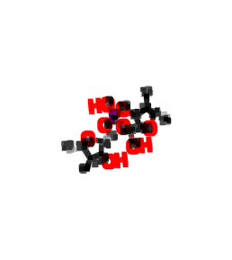 C[C@@H]1[C@H](O)[C@@H](COP(=O)(O)O[C@H]2[C@@H](C)[C@H](C)O[C@@H]2CO)O[C@H]1C